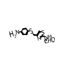 Nc1ccc(SCc2csc(NC=O)n2)cc1